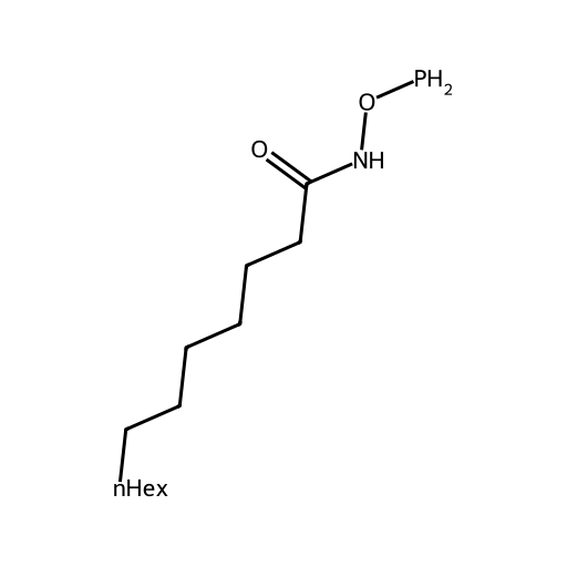 CCCCCCCCCCCCC(=O)NOP